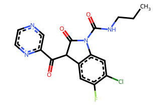 CCCNC(=O)N1C(=O)C(C(=O)c2cnccn2)c2cc(F)c(Cl)cc21